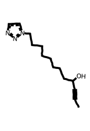 CC#CC(O)CCCCCCCCn1ccnn1